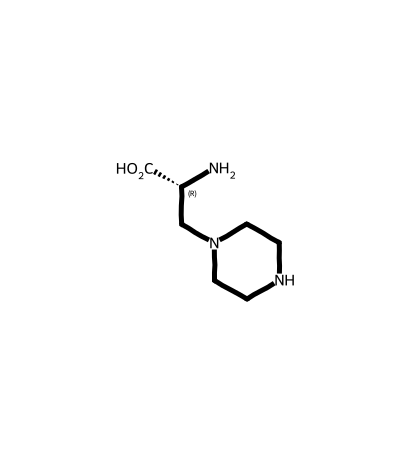 N[C@H](CN1CCNCC1)C(=O)O